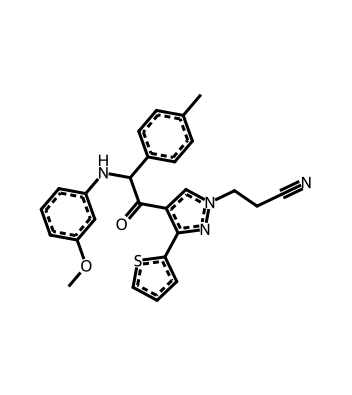 COc1cccc(NC(C(=O)c2cn(CCC#N)nc2-c2cccs2)c2ccc(C)cc2)c1